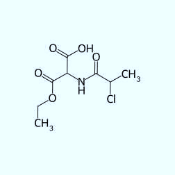 CCOC(=O)C(NC(=O)C(C)Cl)C(=O)O